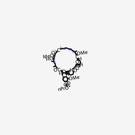 CCCOP(C)(=O)O[C@@H]1CC[C@@H](CC2[C@H]3CCCN4C(=O)C(=O)[C@]5(O)O[C@@H](CC[C@H]5C)C[C@H](OC)/C(C)=C/C=C/C=C/[C@@H](C)C[C@@H](C)C(=O)[C@H](OC)[C@H](O)/C(C)=C/C(C)C(=O)C[C@@H]2OC(=O)C34)C[C@H]1OC